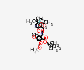 COCOc1cc(OC)cc(/C=C/CC2OC(C)(C)OC2C(O)/C=C\C(C)(F)C(C)C)c1C(=O)OCC[Si](C)(C)C